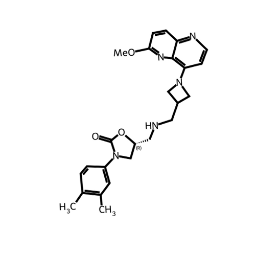 COc1ccc2nccc(N3CC(CNC[C@@H]4CN(c5ccc(C)c(C)c5)C(=O)O4)C3)c2n1